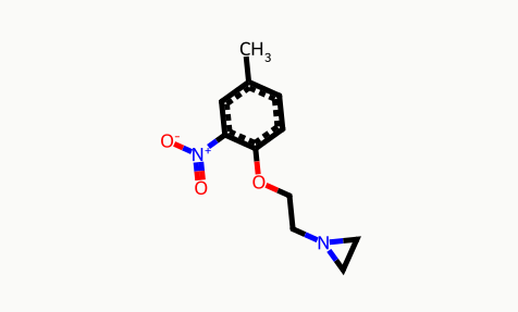 Cc1ccc(OCCN2CC2)c([N+](=O)[O-])c1